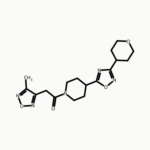 Cc1nonc1CC(=O)N1CCC(c2nc(C3CCOCC3)no2)CC1